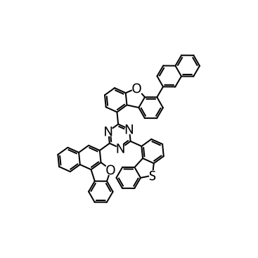 c1ccc2cc(-c3cccc4c3oc3cccc(-c5nc(-c6cc7ccccc7c7c6oc6ccccc67)nc(-c6cccc7sc8ccccc8c67)n5)c34)ccc2c1